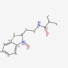 CC(C)C(=O)NCCC1Sc2ccccc2[N+]1=O